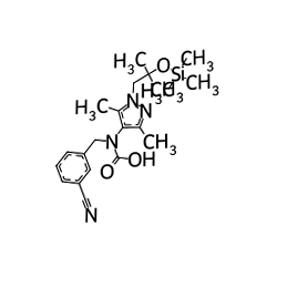 Cc1nn(CC(C)(C)O[Si](C)(C)C)c(C)c1N(Cc1cccc(C#N)c1)C(=O)O